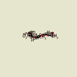 CCCN(CCC)c1c([N+](=O)[O-])cc(S(=O)(=O)NCC(O)COC2CCC(C(C)(C)C3CCC(OCC(O)CNCCC[SiH](C)C4CCCCO4)CC3)CC2)cc1[N+](=O)[O-]